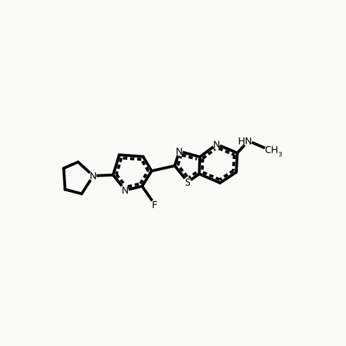 CNc1ccc2sc(-c3ccc(N4CCCC4)nc3F)nc2n1